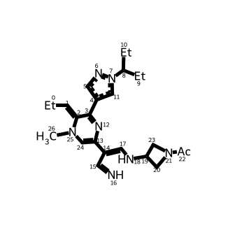 CC/C=C1/C(c2cnn(C(CC)CC)c2)=NC(/C(C=N)=C/NC2CN(C(C)=O)C2)=CN1C